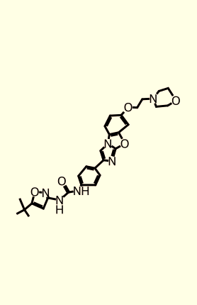 CC(C)(C)c1cc(NC(=O)Nc2ccc(-c3cn4c(n3)oc3cc(OCCN5CCOCC5)ccc34)cc2)no1